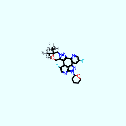 [2H]C([2H])([2H])C1(C([2H])([2H])[2H])Cn2nc(-c3ccc(F)cn3)c(-c3c(F)cnc4c3c(C)nn4C3CCCCO3)c2CO1